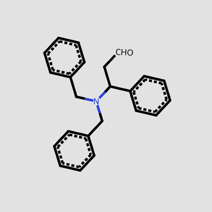 O=CCC(c1ccccc1)N(Cc1ccccc1)Cc1ccccc1